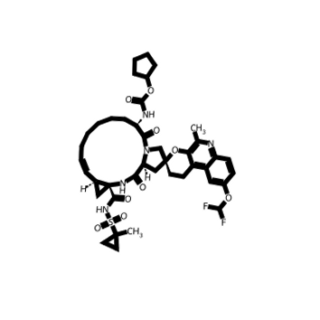 Cc1nc2ccc(OC(F)F)cc2c2c1O[C@]1(CC2)C[C@H]2C(=O)N[C@]3(C(=O)NS(=O)(=O)C4(C)CC4)C[C@H]3/C=C\CCCCC[C@H](NC(=O)OC3CCCC3)C(=O)N2C1